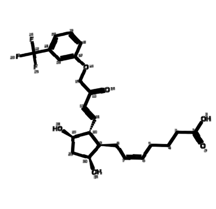 O=C(O)CCC/C=C\C[C@@H]1[C@@H](/C=C/C(=O)COc2cccc(C(F)(F)F)c2)[C@H](O)C[C@@H]1O